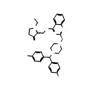 CCN1CCC(=O)C1CNc1nc(CN2CCN(C(c3ccc(Cl)cc3)c3ccc(Cl)cc3)CC2)nc2ccccc12